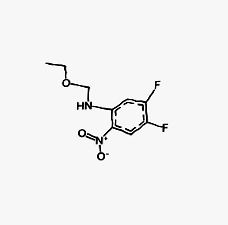 CCOCNc1cc(F)c(F)cc1[N+](=O)[O-]